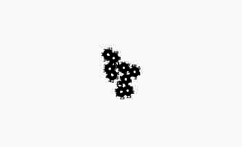 c1ccc(-c2ccc3c(c2)-c2cccc4cccc(c24)O3)c(-c2ccc(-n3c4ccc5ccccc5c4c4ccc5ccccc5c43)cc2)c1